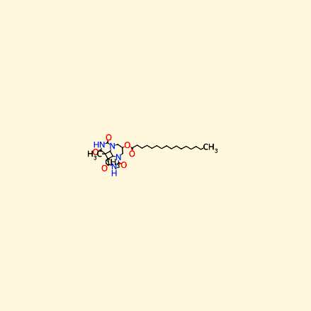 CCCCCCCCCCCCCCCC(=O)OC1CN2C(=O)NC(=O)C3(C)C2C2N(C1)C(=O)NC(=O)C23C